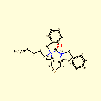 O=C(O)CCCC[N+]1(Cc2ccccc2)C(O)N(Cc2ccccc2)[C@@H]2CSC[C@@H]21